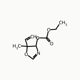 C=CC1(C)OC=NC1OC(=O)OCC